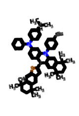 C[SiH](C)c1ccc(N(c2ccccc2)c2ccc3c(c2)N(c2ccc(C(C)(C)C)cc2)c2cc4c(cc2B3c2cc3cc5c(cc3s2)C(C)(C)CCC5(C)C)C(C)(C)CCC4(C)C)cc1